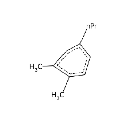 [CH2]CCc1ccc(C)c(C)c1